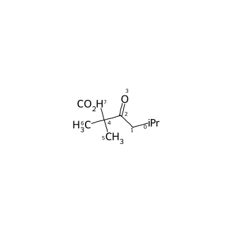 CC(C)CC(=O)C(C)(C)C(=O)O